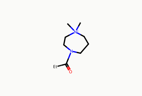 CCC(=O)N1CCC[N+](C)(C)CC1